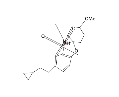 COC1CCC2(CC1)Oc1ccc(CCC3CC3)cc1C21NC(=O)N(C)C1=O